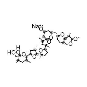 CO[C@@H]1C[C@@H](C[C@H]2CC[C@H](C)[C@H]([C@@H](C)C(=O)[O-])O2)O[C@]2(O[C@](C)([C@H]3CC[C@@](C)([C@@H]4O[C@@H]([C@H]5O[C@@](O)(CO)[C@H](C)C[C@@H]5C)C[C@@H]4C)O3)C[C@H]2C)[C@@H]1C.[Na+]